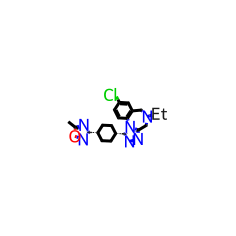 CCN1Cc2cc(Cl)ccc2-n2c(nnc2[C@H]2CC[C@@H](c3noc(C)n3)CC2)C1